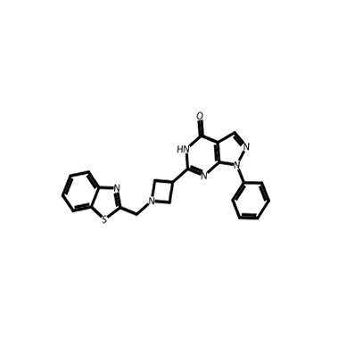 O=c1[nH]c(C2CN(Cc3nc4ccccc4s3)C2)nc2c1cnn2-c1ccccc1